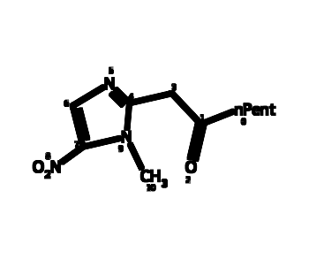 CCCCCC(=O)Cc1ncc([N+](=O)[O-])n1C